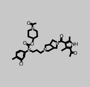 CC(=O)c1[nH]c(C)c(C(=O)N2CC3CN(CCCN(C(=O)OC4CCN(C(C)=O)CC4)c4ccc(C)c(Cl)c4)CC3C2)c1C